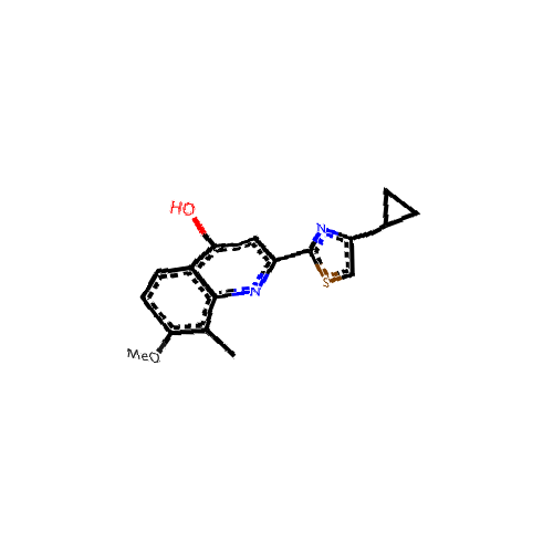 COc1ccc2c(O)cc(-c3nc(C4CC4)cs3)nc2c1C